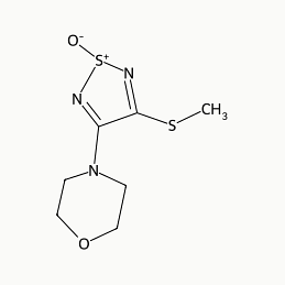 CSc1n[s+]([O-])nc1N1CCOCC1